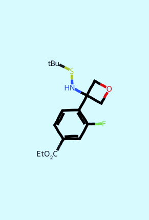 CCOC(=O)c1ccc(C2(NSC(C)(C)C)COC2)c(F)c1